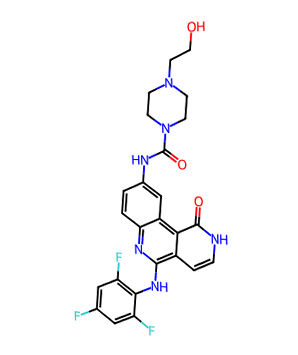 O=C(Nc1ccc2nc(Nc3c(F)cc(F)cc3F)c3cc[nH]c(=O)c3c2c1)N1CCN(CCO)CC1